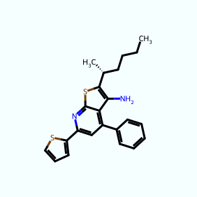 CCCC[C@@H](C)c1sc2nc(-c3cccs3)cc(-c3ccccc3)c2c1N